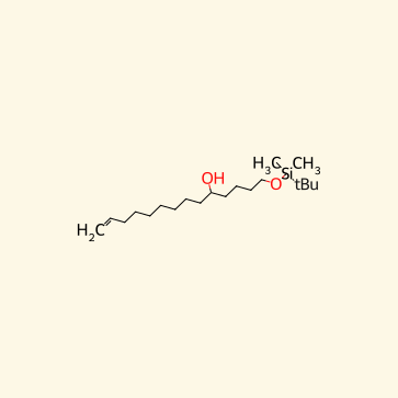 C=CCCCCCCCC(O)CCCCO[Si](C)(C)C(C)(C)C